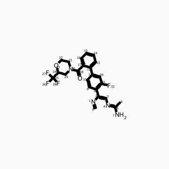 C=N/C(=C\N=C(/C)N)c1ccc(-c2ccccc2C(=O)N2CCOC(C(F)(F)F)C2)cc1F